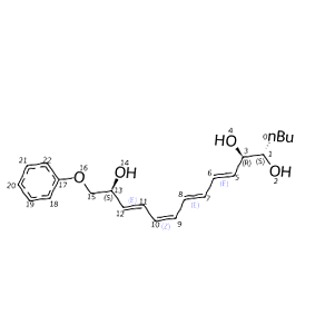 CCCC[C@H](O)[C@H](O)/C=C/C=C/C=C\C=C\[C@H](O)COc1ccccc1